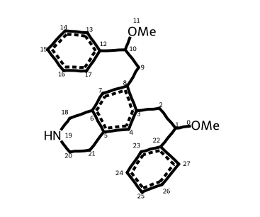 COC(Cc1cc2c(cc1CC(OC)c1ccccc1)CNCC2)c1ccccc1